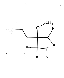 CCCC(OC)(C(F)F)C(F)(F)F